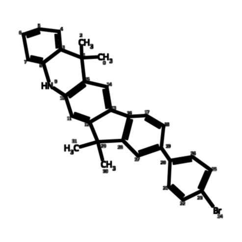 CC1(C)c2ccccc2Nc2cc3c(cc21)-c1ccc(-c2ccc(Br)cc2)cc1C3(C)C